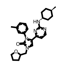 Cc1cccc(-n2c(-c3ccnc(N[C@H]4CC[C@H](C)CC4)n3)cn(CC3CCCO3)c2=O)c1